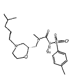 Cc1ccc(S(=O)(=O)[SH](S)C(=O)N(C)C[C@H]2CN(CCCC(C)C)CCO2)cc1